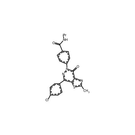 Cc1nc2c(=O)n(-c3ccc(C(=O)NC(C)C)cc3)nc(-c3ccc(Cl)cc3)c2s1